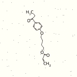 C=CC(=O)OCCCCOc1ccc(C(=O)CC)cc1